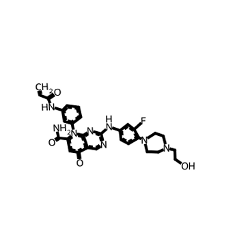 C=CC(=O)Nc1cccc(-n2c(C(N)=O)cc(=O)c3cnc(Nc4ccc(N5CCN(CCO)CC5)c(F)c4)nc32)c1